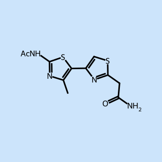 CC(=O)Nc1nc(C)c(-c2csc(CC(N)=O)n2)s1